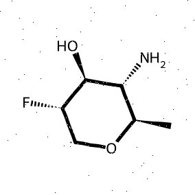 C[C@H]1O[CH][C@H](F)[C@@H](O)[C@@H]1N